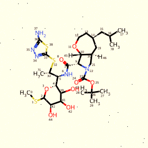 CSC1O[C@H]([C@H](NC(=O)[C@@H]2[C@@H]3OCC[C@@H](CC(C)C)C[C@H]3CN2C(=O)OC(C)(C)C)[C@H](C)Sc2nnc(N)s2)C(O)C(O)[C@H]1O